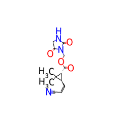 CC1(C)[C@H](/C=C\C#N)[C@H]1C(=O)OCN1C(=O)CNC1=O